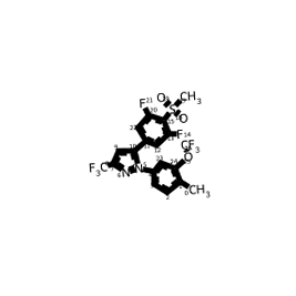 Cc1ccc(-n2nc(C(F)(F)F)cc2-c2cc(F)c(S(C)(=O)=O)c(F)c2)cc1OC(F)(F)F